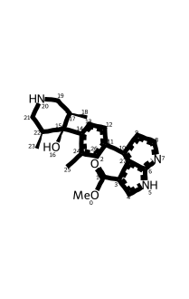 COC(=O)c1c[nH]c2nccc(-c3ccc([C@@]4(O)[C@H](C)CNC[C@@H]4C)c(C)c3)c12